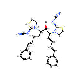 N#CN=C1SCCN1C(C=CC=Cc1ccccc1)C(=O)C(C=CC=Cc1ccccc1)N1CCSC1=NC#N